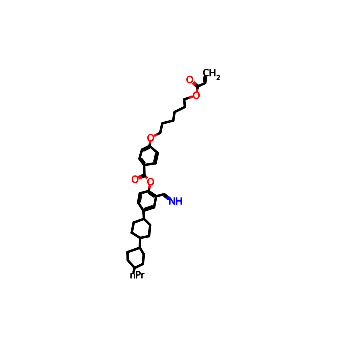 C=CC(=O)OCCCCCCOc1ccc(C(=O)Oc2ccc(C3CCC(C4CCC(CCC)CC4)CC3)cc2C=N)cc1